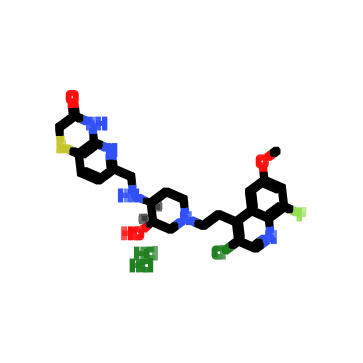 COc1cc(F)c2ncc(Cl)c(CCN3CC[C@H](NCc4ccc5c(n4)NC(=O)CS5)[C@H](O)C3)c2c1.Cl.Cl